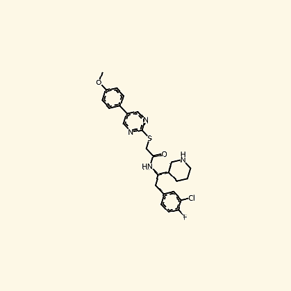 COc1ccc(-c2cnc(SCC(=O)NC(Cc3ccc(F)c(Cl)c3)C3CCCNC3)nc2)cc1